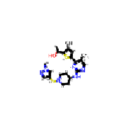 CC(O)c1sc(-c2nc(NC3CCN(Sc4cnn(C)c4)CC3)ncc2C(F)(F)F)cc1C#N